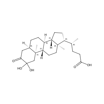 C[C@H](CCC(=O)O)[C@H]1CC[C@H]2[C@@H]3CC[C@@H]4CC(=O)C(O)(O)C[C@]4(C)[C@H]3CC[C@]12C